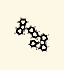 c1ccc2c(c1)Oc1cccc3c4cccc(-c5ccc6cc(-n7c8ccccc8c8ccccc87)ccc6c5)c4n-2c13